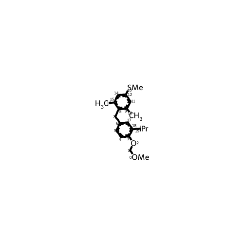 COCOc1ccc(Cc2c(C)cc(SC)cc2C)cc1C(C)C